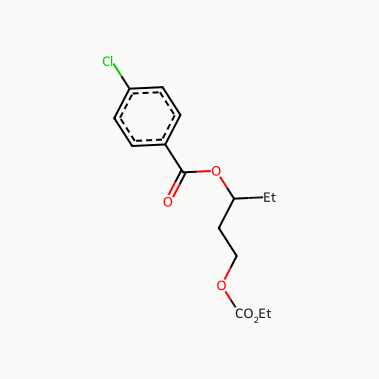 CCOC(=O)OCCC(CC)OC(=O)c1ccc(Cl)cc1